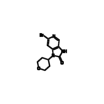 O=c1[nH]c2cnc(Br)cc2n1C1CCOCC1